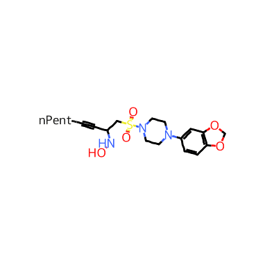 CCCCCC#CC(CS(=O)(=O)N1CCN(c2ccc3c(c2)OCO3)CC1)NO